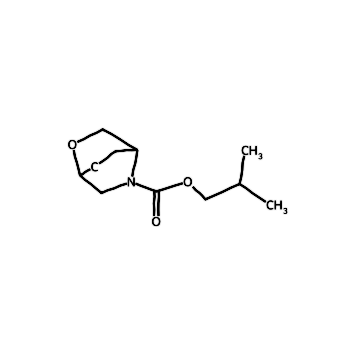 CC(C)COC(=O)N1CC2CCC1CO2